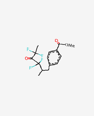 COC(=O)c1ccc(CC(C)C(F)(F)C(=O)C(C)(F)F)cc1